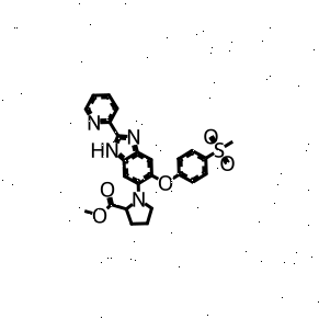 COC(=O)C1CCCN1c1cc2[nH]c(-c3ccccn3)nc2cc1Oc1ccc(S(C)(=O)=O)cc1